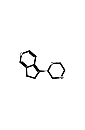 C1=CC2=C([C@@H]3CNCCO3)CCC2=CO1